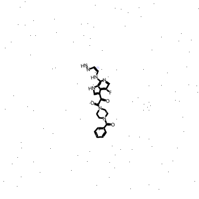 N=N/C=C\Nc1ncc(F)c2c(C(=O)C(=O)N3CCN(C(=O)c4ccccc4)CC3)c[nH]c12